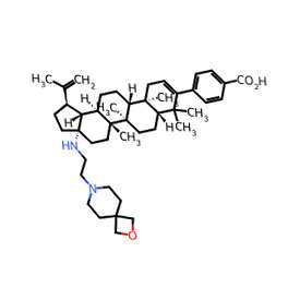 C=C(C)[C@@H]1CC[C@]2(NCCN3CCC4(CC3)COC4)CC[C@]3(C)[C@H](CC[C@@H]4[C@@]5(C)CC=C(c6ccc(C(=O)O)cc6)C(C)(C)[C@@H]5CC[C@]43C)[C@@H]12